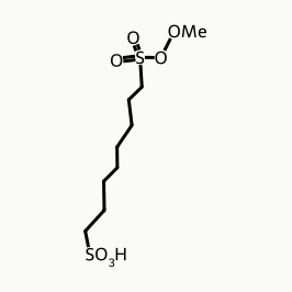 COOS(=O)(=O)CCCCCCCCS(=O)(=O)O